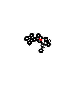 c1ccc(-c2nc(-c3ccccc3)nc(-c3cccc4oc5ccc(-c6ccc7c(-c8ccc9c(c8)C8(c%10ccccc%10-c%10ccccc%108)c8ccccc8-9)cccc7c6)cc5c34)n2)cc1